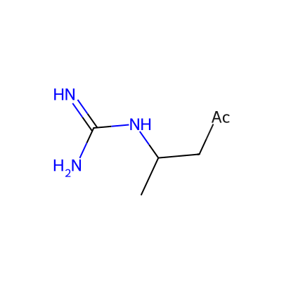 CC(=O)CC(C)NC(=N)N